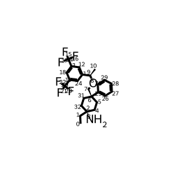 CC[C@]1(N)CC[C@@](CO[C@H](C)c2cc(C(F)(F)F)cc(C(F)(F)F)c2)(c2ccccc2)CC1